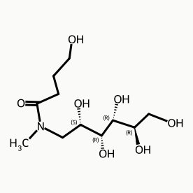 CN(C[C@H](O)[C@@H](O)[C@H](O)[C@H](O)CO)C(=O)CCCO